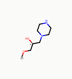 CCOC[C@@H](O)CN1CCNCC1